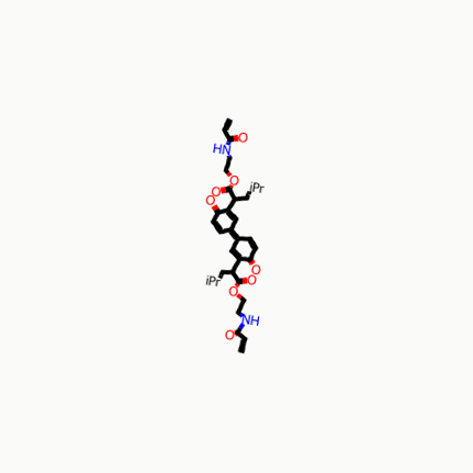 C=CC(=O)NCCOC(=O)C(CC(C)C)C1=C/C(=C2\C=CC(=O)C(C(CC(C)C)C(=O)OCCNC(=O)C=C)=C2)C=CC1=O